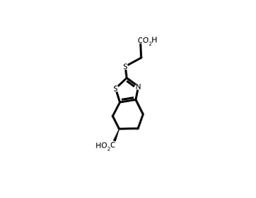 O=C(O)CSc1nc2c(s1)C[C@H](C(=O)O)CC2